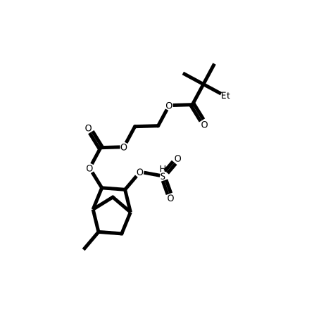 CCC(C)(C)C(=O)OCCOC(=O)OC1C2CC(CC2C)C1O[SH](=O)=O